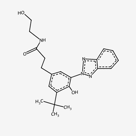 CC(C)(C)c1cc(CCC(=O)NCCO)cc(-n2nc3ccccc3n2)c1O